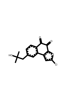 CC(C)(O)Cc1ccc2c(c1)-c1cc(Cl)sc1C(=O)C2=O